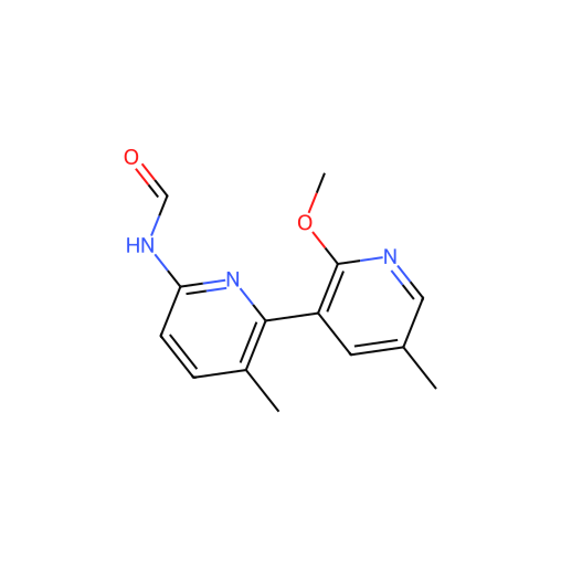 COc1ncc(C)cc1-c1nc(NC=O)ccc1C